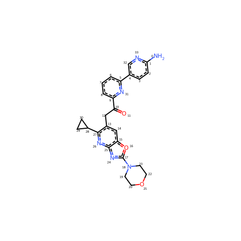 Nc1ccc(-c2cccc(C(=O)Cc3cc4oc(N5CCOCC5)nc4nc3C3CC3)n2)cn1